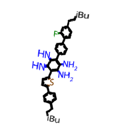 CCC(C)CCc1ccc(-c2ccc(C3=C(N)C(N)=C(c4ccc(-c5ccc(CCC(C)CC)cc5F)cc4)C(=N)C3=N)s2)cc1